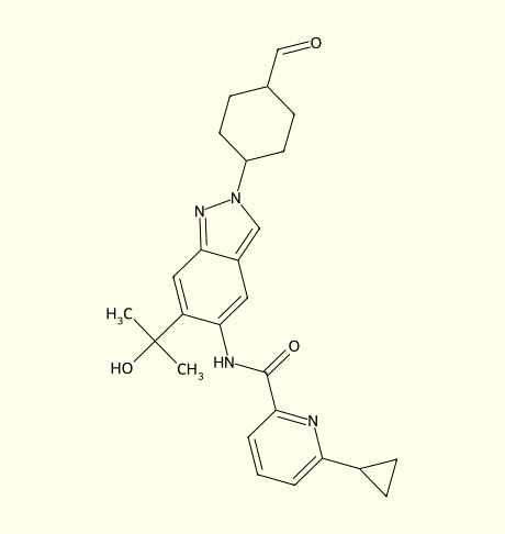 CC(C)(O)c1cc2nn(C3CCC(C=O)CC3)cc2cc1NC(=O)c1cccc(C2CC2)n1